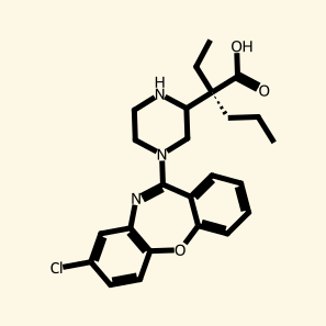 CCC[C@](CC)(C(=O)O)C1CN(C2=Nc3cc(Cl)ccc3Oc3ccccc32)CCN1